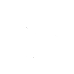 NCCC(OCc1ccccc1[N+](=O)[O-])OCc1ccccc1[N+](=O)[O-]